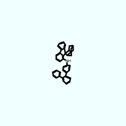 c1ccc(-c2ccccc2-c2ccc(Nc3cccc4c3C3(c5ccccc5-4)C4CC5CC(C4)C3C5)cc2)cc1